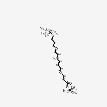 CC(C)(C)OCCCOCCNCCCOCCC(=O)OC(C)(C)C